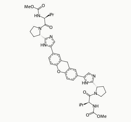 COC(=O)N[C@H](C(=O)N1CCC[C@H]1c1ncc(-c2ccc3c(c2)Cc2cc(-c4cnc([C@@H]5CCCN5C(=O)[C@@H](NC(=O)OC)C(C)C)[nH]4)ccc2O3)[nH]1)C(C)C